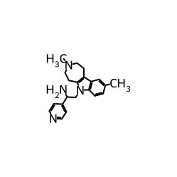 Cc1ccc2c(c1)c1c(n2CC(N)c2ccncc2)CCN(C)CC1